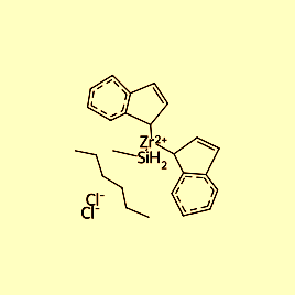 CCCCCC.C[SiH2][Zr+2]([CH]1C=Cc2ccccc21)[CH]1C=Cc2ccccc21.[Cl-].[Cl-]